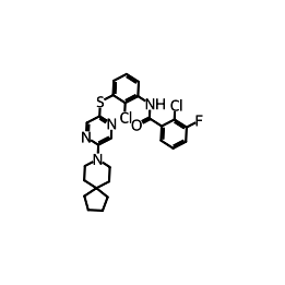 O=C(Nc1cccc(Sc2cnc(N3CCC4(CCCC4)CC3)cn2)c1Cl)c1cccc(F)c1Cl